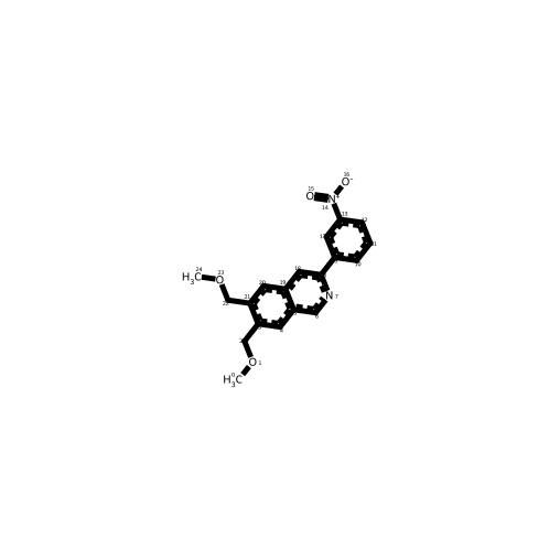 COCc1cc2cnc(-c3cccc([N+](=O)[O-])c3)cc2cc1COC